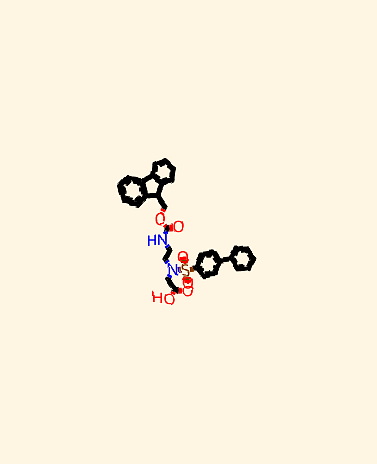 O=C(O)CN(CCNC(=O)OCC1c2ccccc2-c2ccccc21)S(=O)(=O)c1ccc(-c2ccccc2)cc1